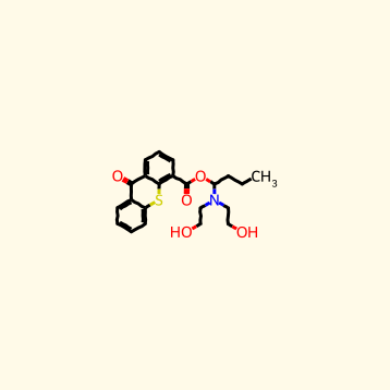 CCCC(OC(=O)c1cccc2c(=O)c3ccccc3sc12)N(CCO)CCO